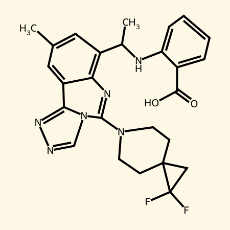 Cc1cc(C(C)Nc2ccccc2C(=O)O)c2nc(N3CCC4(CC3)CC4(F)F)n3cnnc3c2c1